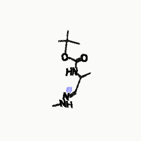 CN/N=C/C(C)NC(=O)OC(C)(C)C